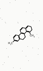 CC1=c2c3c(ccc2=CCC1)-c1ccc(C)cc1CC3